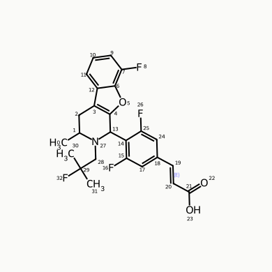 CC1Cc2c(oc3c(F)cccc23)C(c2c(F)cc(/C=C/C(=O)O)cc2F)N1CC(C)(C)F